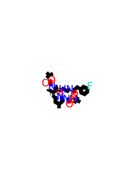 Cc1cc(C[C@H]2CN(C(=O)OC(C)(C)C)C[C@H]2OCCNC(=O)Cc2cccc(F)c2)nc(NC(=O)OC(C)(C)C)c1